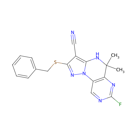 CC1(C)Nc2c(C#N)c(SCc3ccccc3)nn2-c2cnc(F)nc21